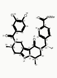 CNC(=O)c1ccc([C@H](C)N2C[C@@H](C)n3nc4c(c3C2=O)CN(C(=O)c2ccc(Cl)c(Cl)c2)[C@H](C)C4)cn1